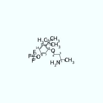 CC(N)CCOc1cc(OC(F)(F)F)ccc1C(C)(C)C